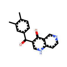 Cc1ccc(C(=O)c2c[nH]c3ccncc3c2=O)cc1C